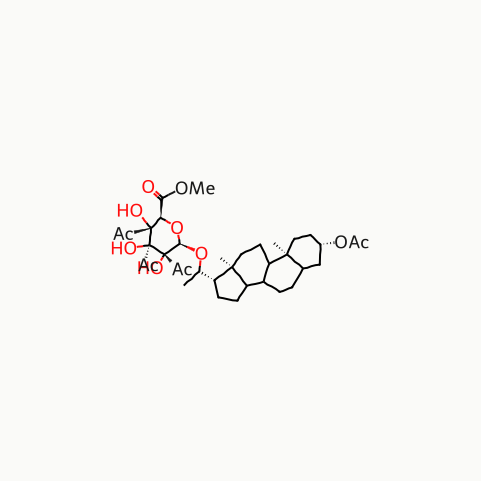 COC(=O)[C@H]1O[C@@H](OC(C)[C@H]2CCC3C4CCC5C[C@@H](OC(C)=O)CC[C@]5(C)C4CC[C@@]32C)[C@@](O)(C(C)=O)[C@](O)(C(C)=O)[C@@]1(O)C(C)=O